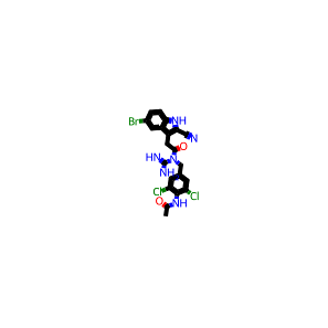 CC(=O)Nc1c(Cl)cc(CN(C(=N)N)C(=O)Cc2c(C#N)[nH]c3ccc(Br)cc23)cc1Cl